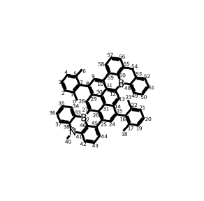 Cc1cccc(C)c1-c1cc2c3c(cc4c(-c5c(C)cccc5C)cc5c6c(cc1c3c46)B1c3ccccc3N(C)c3cccc-5c31)B1c3ccccc3Cc3cccc-2c31